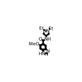 CCN1CC(NC(=O)c2cc3nn[nH]c3cc2OC)CN1CC